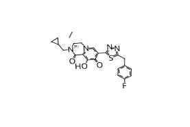 CC[C@@H]1Cn2cc(-c3nnc(Cc4ccc(F)cc4)s3)c(=O)c(O)c2C(=O)N1CC1CC1